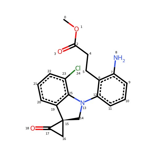 COC(=O)CCc1c(N)cccc1N1C[C@]2(CC2=O)c2cccc(Cl)c21